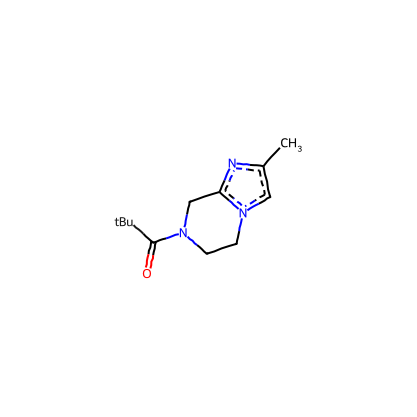 Cc1cn2c(n1)CN(C(=O)C(C)(C)C)CC2